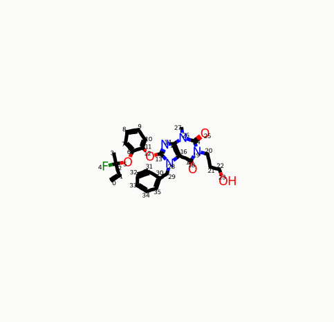 C=CC(C)(F)Oc1ccccc1Oc1nc2c(c(=O)n(CCCO)c(=O)n2C)n1Cc1c#cccc1